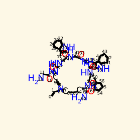 C=CCN1C#CCN(NC(=O)CN)C(=O)N[C@H](Cc2c[nH]c3ccccc23)C(=O)N[C@@H](C)C(=O)NN(Cc2c[nH]c3ccccc23)C(=O)N[C@H](Cc2ccccc2)C(=O)N[C@H](C(N)=O)CCCC1